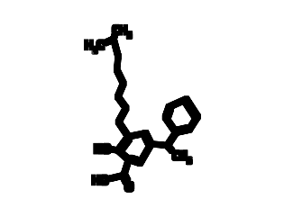 CC(C)CCCCCCc1cc(C(C)c2ccccc2)cc(C(=O)O)c1O